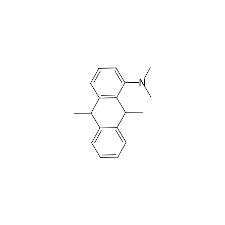 CC1c2ccccc2C(C)c2c1cccc2N(C)C